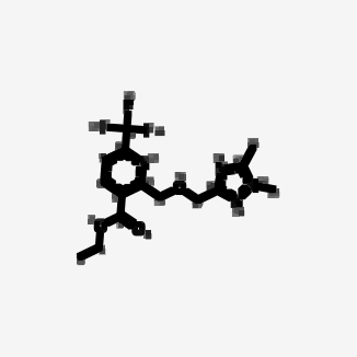 CCOC(=O)c1ccc(C(F)(F)F)nc1COCc1nc(C)n(C)n1